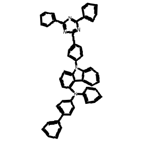 c1ccc(-c2ccc(N(c3ccccc3)c3cccc4c3c3ccccc3n4-c3ccc(-c4nc(-c5ccccc5)nc(-c5ccccc5)n4)cc3)cc2)cc1